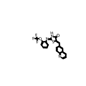 O=C1N/C(=N/c2ccccc2OC(F)(F)F)S/C1=C\c1ccc2ncccc2c1